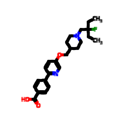 CCC(F)(CC)CN1CCC(COc2ccc(-c3ccc(C(=O)O)cc3)nc2)CC1